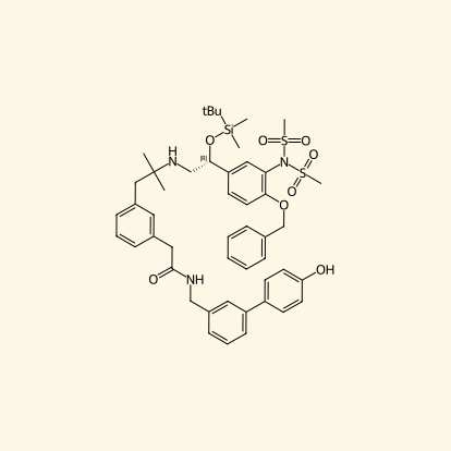 CC(C)(Cc1cccc(CC(=O)NCc2cccc(-c3ccc(O)cc3)c2)c1)NC[C@H](O[Si](C)(C)C(C)(C)C)c1ccc(OCc2ccccc2)c(N(S(C)(=O)=O)S(C)(=O)=O)c1